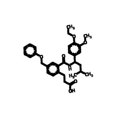 CCOc1ccc(C(CC(C)C)NC(=O)c2cc(COc3ccccc3)ccc2CCC(=O)O)cc1OC